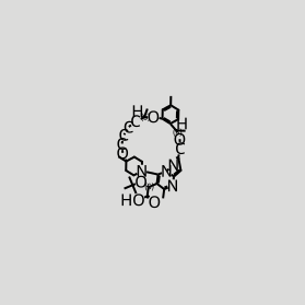 Cc1ccc2c(c1)O[C@@H](C)CCCCOC1(C)CCN(CC1)c1c([C@H](OC(C)(C)C)C(=O)O)c(C)nc3cc(nn13)CO[C@H]2C